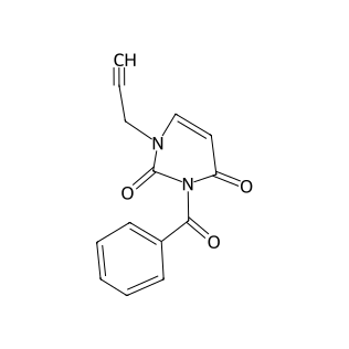 C#CCn1ccc(=O)n(C(=O)c2ccccc2)c1=O